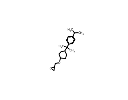 CC(C)c1ccc(C(C)(C)C2CCC(OCC3CO3)CC2)cc1